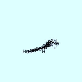 CC(C)CCC[C@@H](C)C1CCC2C3CC=C4C[C@@H](OC(=O)NCCCOCCOCCOCCOCCCO)CC[C@]4(C)C3CC[C@@]21C